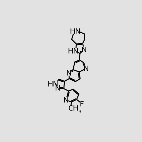 Cc1nc(-c2n[nH]cc2-c2ccc3ncc(-c4nc5c([nH]4)CCNCC5)cc3n2)ccc1F